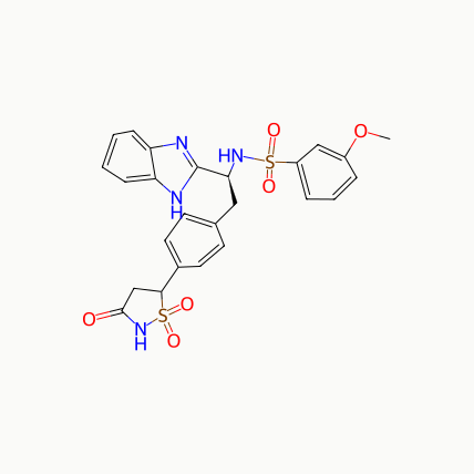 COc1cccc(S(=O)(=O)N[C@@H](Cc2ccc(C3CC(=O)NS3(=O)=O)cc2)c2nc3ccccc3[nH]2)c1